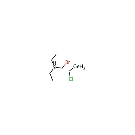 CC[SiH](CC)CBr.Cl[CH2][GeH3]